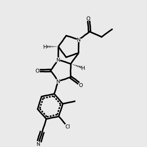 CCC(=O)N1C[C@H]2CC1[C@H]1C(=O)N(c3ccc(C#N)c(Cl)c3C)C(=O)N21